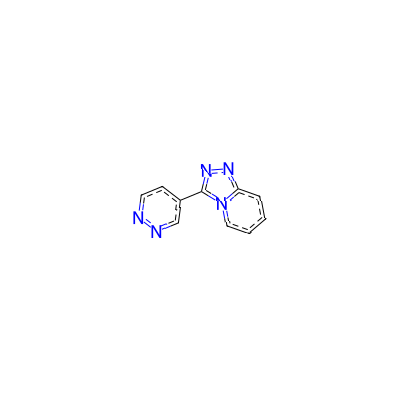 c1ccn2c(-c3ccnnc3)nnc2c1